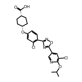 CC(C)Oc1ncc(-c2nc(-c3ccc(O[C@H]4CC[C@@H](C(=O)O)CC4)cc3Cl)no2)cc1Cl